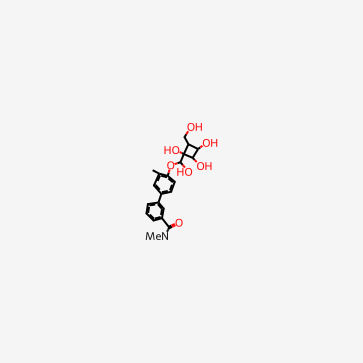 CNC(=O)c1cccc(-c2ccc(OC(O)C3(O)C(O)C(O)C3CO)c(C)c2)c1